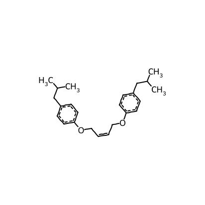 CC(C)Cc1ccc(OC/C=C\COc2ccc(CC(C)C)cc2)cc1